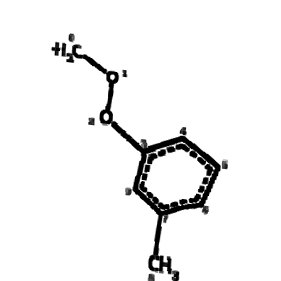 [CH2]OOc1cccc(C)c1